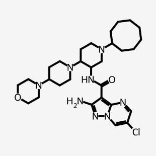 Nc1nn2cc(Cl)cnc2c1C(=O)NC1CN(C2CCCCCCC2)CCC1N1CCC(N2CCOCC2)CC1